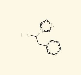 [CH2]C(Cc1ccccc1)n1ccnc1